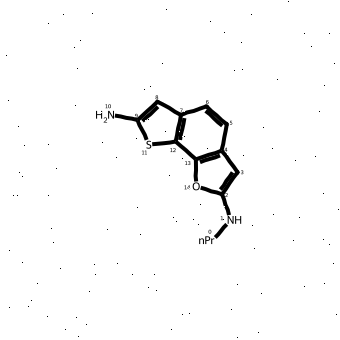 CCCNc1cc2ccc3cc(N)sc3c2o1